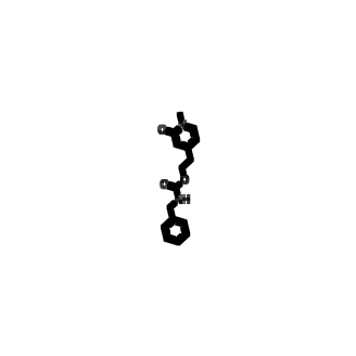 Cn1ccc(CCOC(=O)NCc2ccccc2)cc1=O